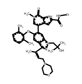 CCNC(=O)c1cc2c(-c3cc4c(cc3Oc3c(C)cccc3C)c(/C(C)=C\CN3CCOCC3)nn4CC(C)(C)O)cn(C)c(=O)c2[nH]1